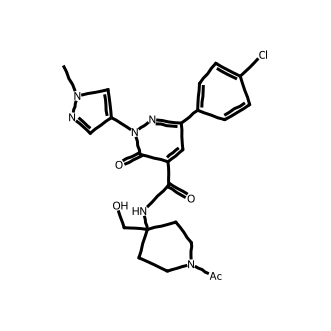 CC(=O)N1CCC(CO)(NC(=O)c2cc(-c3ccc(Cl)cc3)nn(-c3cnn(C)c3)c2=O)CC1